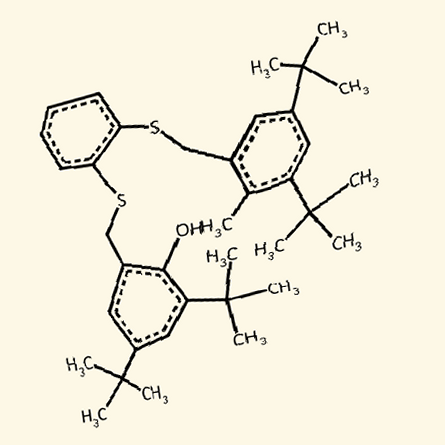 Cc1c(CSc2ccccc2SCc2cc(C(C)(C)C)cc(C(C)(C)C)c2O)cc(C(C)(C)C)cc1C(C)(C)C